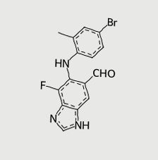 Cc1cc(Br)ccc1Nc1c(C=O)cc2[nH]cnc2c1F